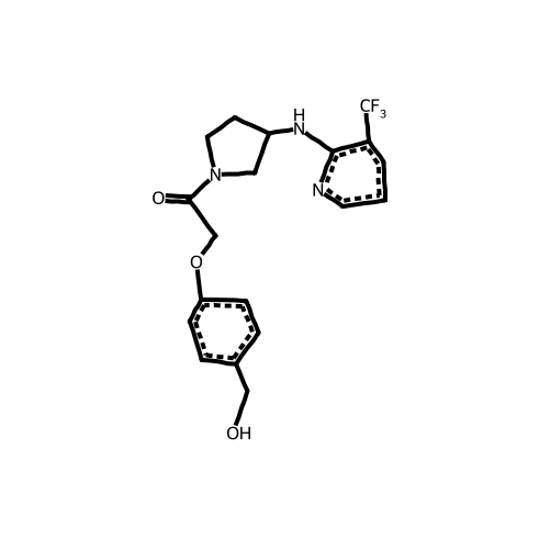 O=C(COc1ccc(CO)cc1)N1CCC(Nc2ncccc2C(F)(F)F)C1